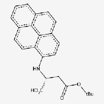 CC(C)(C)OC(=O)C[C@@H](Nc1ccc2ccc3cccc4ccc1c2c34)C(=O)O